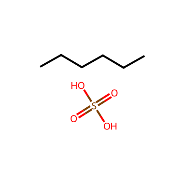 CCCCCC.O=S(=O)(O)O